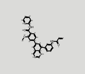 C=CC(=O)Nc1cccc(-c2cc(-c3ccc(C(=O)Nc4ccccn4)c(OC)c3)cc3cncnc23)c1